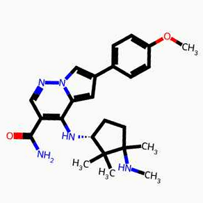 CNC1(C)CC[C@@H](Nc2c(C(N)=O)cnn3cc(-c4ccc(OC)cc4)cc23)C1(C)C